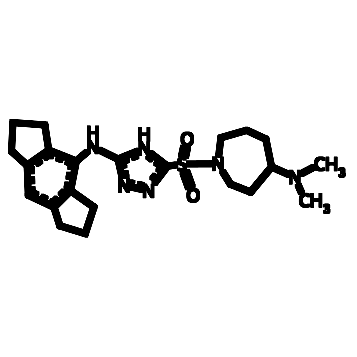 CN(C)C1CCCN(S(=O)(=O)c2nnc(Nc3c4c(cc5c3CCC5)CCC4)[nH]2)CC1